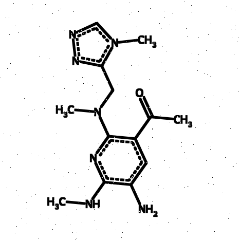 CNc1nc(N(C)Cc2nncn2C)c(C(C)=O)cc1N